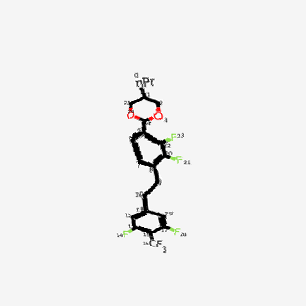 CCCC1COC(c2ccc(CCc3cc(F)c(C(F)(F)F)c(F)c3)c(F)c2F)OC1